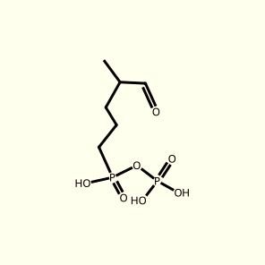 CC(C=O)CCCP(=O)(O)OP(=O)(O)O